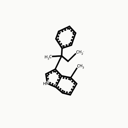 [CH2]CC(C)(c1ccccc1)c1c[nH]c2cccc(C)c12